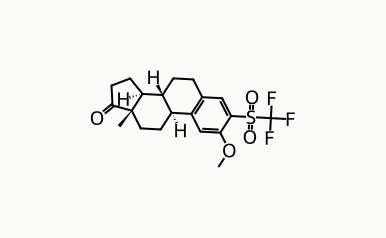 COc1cc2c(cc1S(=O)(=O)C(F)(F)F)CC[C@@H]1[C@@H]2CC[C@]2(C)C(=O)CC[C@@H]12